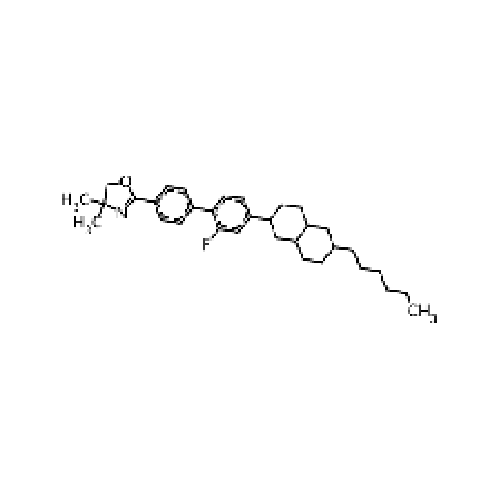 CCCCCCC1CCC2CC(c3ccc(-c4ccc(C5=NC(C)(C)CO5)cc4)c(F)c3)CCC2C1